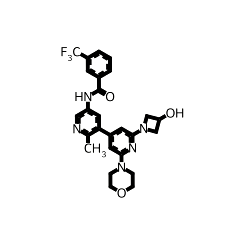 Cc1ncc(NC(=O)c2cccc(C(F)(F)F)c2)cc1-c1cc(N2CCOCC2)nc(N2CC(O)C2)c1